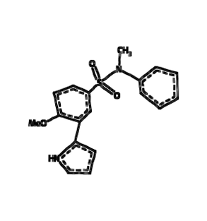 COc1ccc(S(=O)(=O)N(C)c2ccccc2)cc1-c1ccc[nH]1